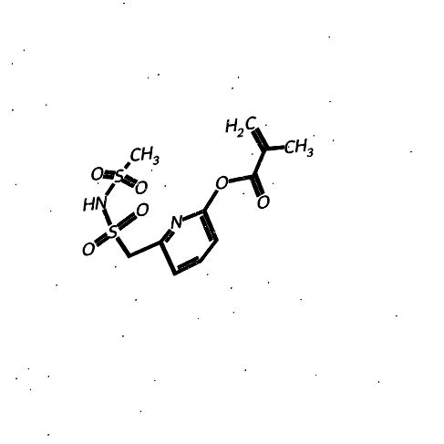 C=C(C)C(=O)Oc1cccc(CS(=O)(=O)NS(C)(=O)=O)n1